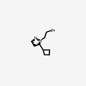 CC(C)CCn1n[c]cc1C1CCC1